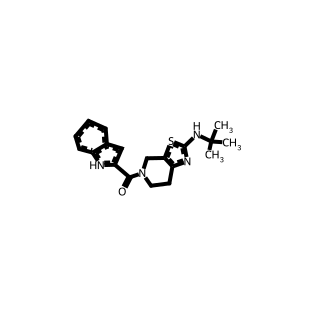 CC(C)(C)Nc1nc2c(s1)CN(C(=O)c1cc3ccccc3[nH]1)CC2